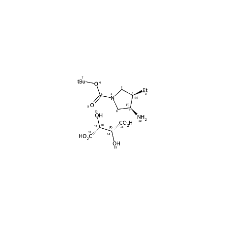 CC[C@@H]1CN(C(=O)OC(C)(C)C)C[C@@H]1N.O=C(O)[C@H](O)[C@@H](O)C(=O)O